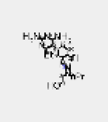 CCCN(CCO)/N=N/c1cc(-c2c(N)nc(N)nc2CC)ccc1Cl